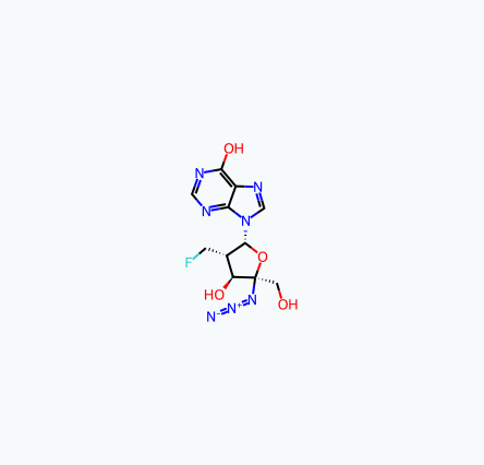 [N-]=[N+]=N[C@]1(CO)O[C@@H](n2cnc3c(O)ncnc32)[C@@H](CF)[C@@H]1O